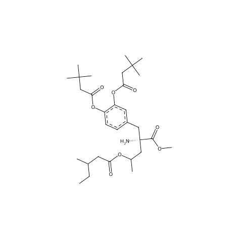 CCC(C)CC(=O)OC(C)C[C@@](N)(Cc1ccc(OC(=O)CC(C)(C)C)c(OC(=O)CC(C)(C)C)c1)C(=O)OC